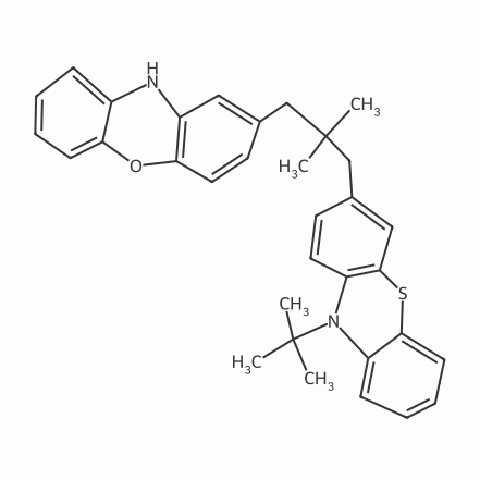 CC(C)(Cc1ccc2c(c1)Nc1ccccc1O2)Cc1ccc2c(c1)Sc1ccccc1N2C(C)(C)C